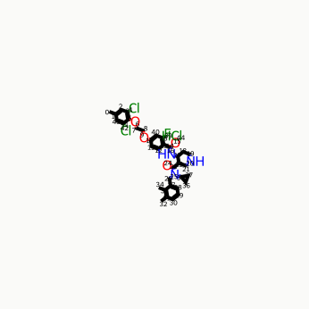 Cc1cc(Cl)c(OCCOc2ccc(C(=O)NC3CCNCC3C(=O)N(Cc3cccc(C)c3C)C3CC3)c(F)c2)c(Cl)c1.Cl